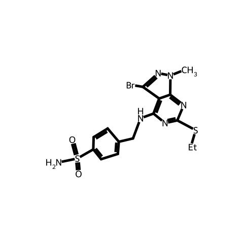 CCSc1nc(NCc2ccc(S(N)(=O)=O)cc2)c2c(Br)nn(C)c2n1